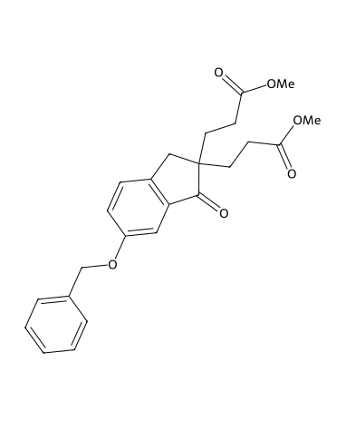 COC(=O)CCC1(CCC(=O)OC)Cc2ccc(OCc3ccccc3)cc2C1=O